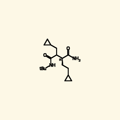 CC(C)(C)NC(=O)C(CC1CC1)[C@H](CCC1CC1)C(N)=O